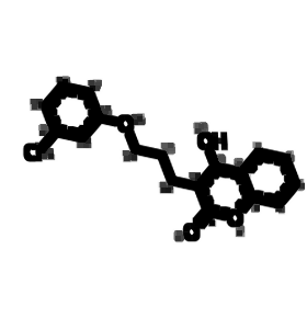 O=c1oc2ccccc2c(O)c1CCCOc1cccc(Cl)c1